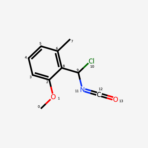 COc1cccc(C)c1C(Cl)N=C=O